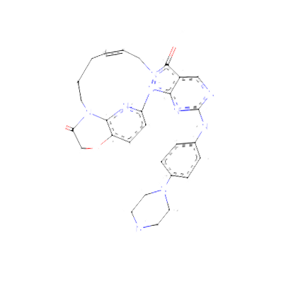 O=C1COc2ccc3nc2N1CCC/C=C\Cn1c(=O)c2cnc(Nc4ccc(N5CCNCC5)cc4)nc2n1-3